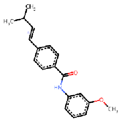 COc1cccc(NC(=O)c2ccc(/C=C/C(C)C)cc2)c1